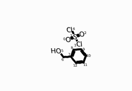 O=S(=O)(Cl)Cl.OCc1ccccc1